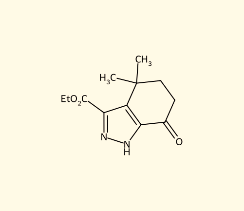 CCOC(=O)c1n[nH]c2c1C(C)(C)CCC2=O